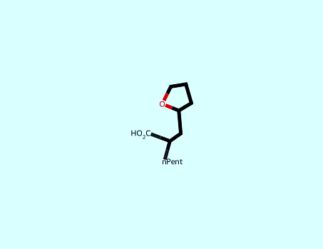 CCCCCC(CC1CCCO1)C(=O)O